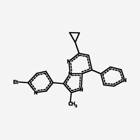 CCc1ccc(-c2c(C)nc3c(-c4ccncc4)cc(C4CC4)nn23)cn1